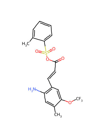 Cc1cc(N)c(/C=C/C(=O)OS(=O)(=O)c2ccccc2C)cc1OC(F)(F)F